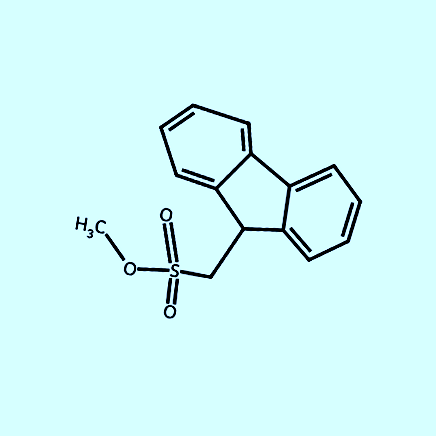 COS(=O)(=O)CC1c2ccccc2-c2ccccc21